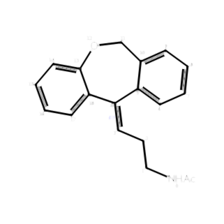 CC(=O)NCC/C=C1\c2ccccc2COc2ccccc21